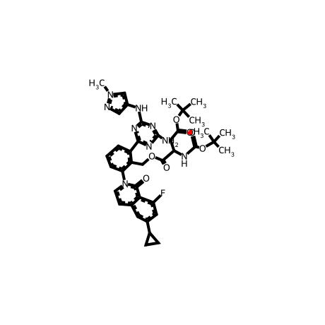 Cn1cc(Nc2nc(N)nc(-c3cccc(-n4ccc5cc(C6CC6)cc(F)c5c4=O)c3COC(=O)C(CC(=O)OC(C)(C)C)NC(=O)OC(C)(C)C)n2)cn1